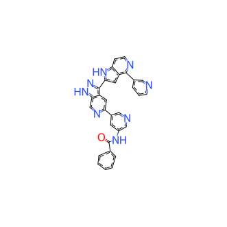 O=C(Nc1cncc(-c2cc3c(-c4cc5c(-c6cccnc6)nccc5[nH]4)n[nH]c3cn2)c1)c1ccccc1